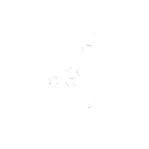 CCn1ncnc1-c1cn(COCC[Si](C)(C)C)c2ncc(OC3CCN(C(=O)OC(C)(C)C)CC3)nc12